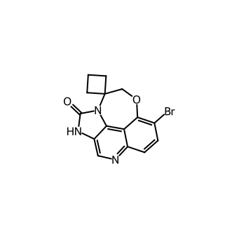 O=c1[nH]c2cnc3ccc(Br)c4c3c2n1C1(CCC1)CO4